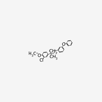 CCOc1ccc(C(C)(C)CCc2cccc(Oc3ccccc3)c2)cc1Cl